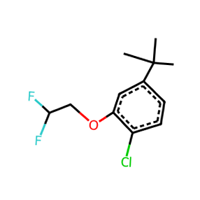 CC(C)(C)c1ccc(Cl)c(OCC(F)F)c1